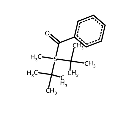 CC(C)(C)S(C)(C(=O)c1ccccc1)C(C)(C)C